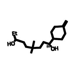 C=C1CCC([C@@H](O)CCC(C)(C)CCC(O)CC)CC1